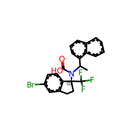 CC(c1cccc2ccccc12)N(C(=O)O)[C@@]1(C(F)(F)F)CCc2cc(Br)ccc21